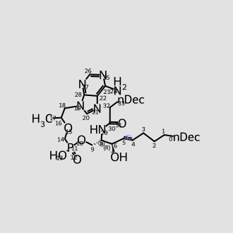 CCCCCCCCCCCCC/C=C/[C@@H](O)[C@H](COP(=O)(O)COC(C)Cn1cnc2c(N)ncnc21)NC(=O)CCCCCCCCCCC